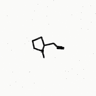 COCC1CCCN1C